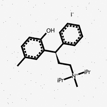 Cc1ccc(O)c([C@H](CC[N+](C)(C(C)C)C(C)C)c2ccccc2)c1.[I-]